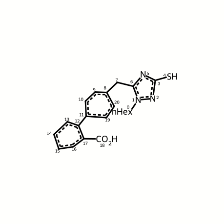 CCCCCCn1nc(S)nc1Cc1ccc(-c2ccccc2C(=O)O)cc1